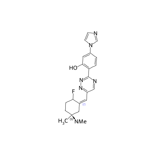 CN[C@@]1(C)CCC(F)/C(=C\c2cnc(-c3ccc(-n4ccnc4)cc3O)nn2)C1